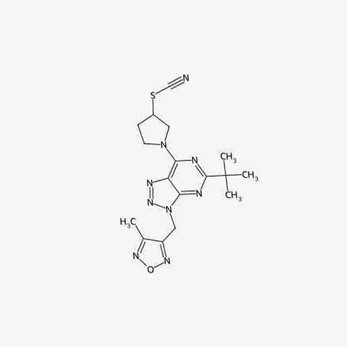 Cc1nonc1Cn1nnc2c(N3CCC(SC#N)C3)nc(C(C)(C)C)nc21